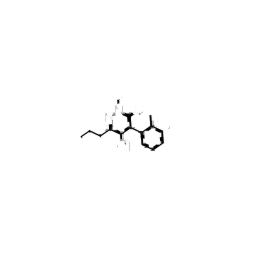 CCCc1nn(C)c(=O)c(-c2ccccc2C)c1O